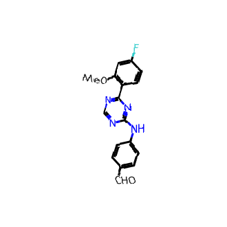 COc1cc(F)ccc1-c1ncnc(Nc2ccc(C=O)cc2)n1